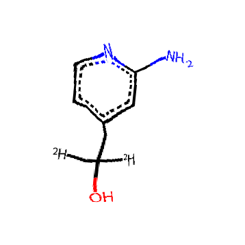 [2H]C([2H])(O)c1ccnc(N)c1